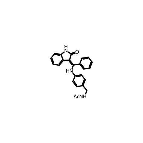 CC(=O)NCc1ccc(NC(=C2C(=O)Nc3ccccc32)c2ccccc2)cc1